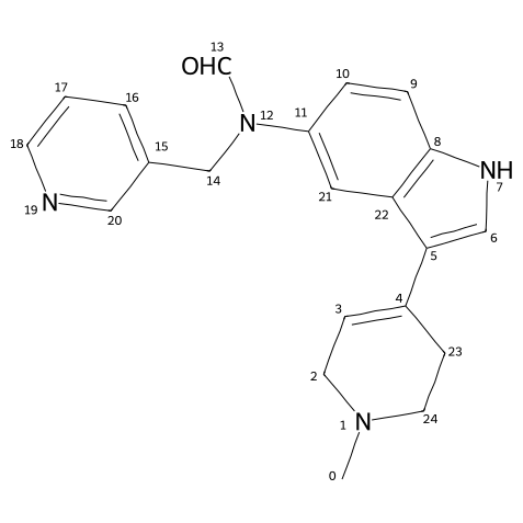 CN1CC=C(c2c[nH]c3ccc(N(C=O)Cc4cccnc4)cc23)CC1